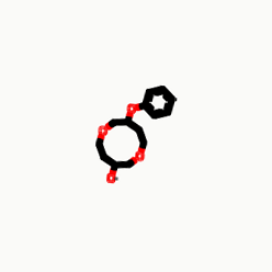 [O]C1CCOCC(Oc2cc[c]cc2)CCOC1